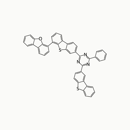 c1ccc(-c2nc(-c3ccc4c(c3)sc3c(-c5cccc6c5oc5ccccc56)cccc34)nc(-c3ccc4sc5ccccc5c4c3)n2)cc1